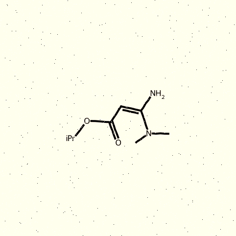 CC(C)OC(=O)C=C(N)N(C)C